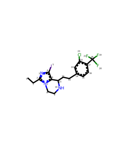 CCc1nc(I)c2n1CCNC2CCc1ccc(C(F)(F)F)c(Cl)c1